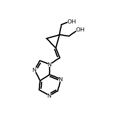 OCC1(CO)C/C1=C\n1cnc2cncnc21